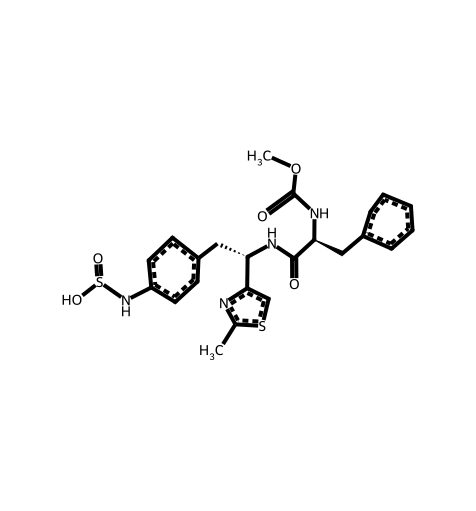 COC(=O)N[C@@H](Cc1ccccc1)C(=O)N[C@@H](Cc1ccc(NS(=O)O)cc1)c1csc(C)n1